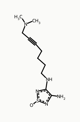 CN(C)CC#CCCCCNc1n[s+]([O-])nc1N